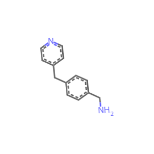 NCc1ccc(Cc2ccncc2)cc1